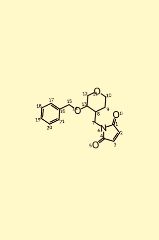 O=C1C=CC(=O)N1CC1CCOCC1OCc1ccccc1